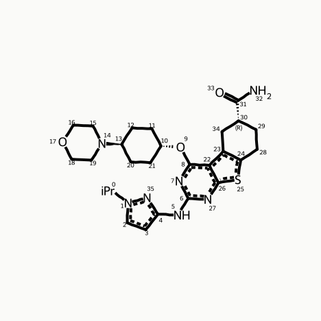 CC(C)n1ccc(Nc2nc(O[C@H]3CC[C@H](N4CCOCC4)CC3)c3c4c(sc3n2)CC[C@@H](C(N)=O)C4)n1